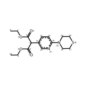 CCOC(=O)C(C(=O)OCC)c1ccc(N2CCSCC2)nc1